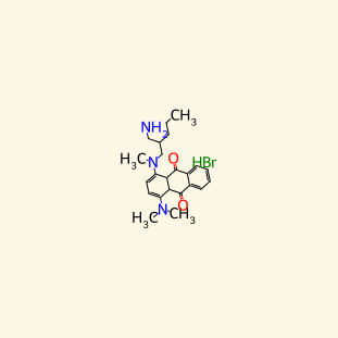 Br.CCCC(CN)CN(C)C1=CC=C(N(C)C)C2C(=O)c3ccccc3C(=O)C12